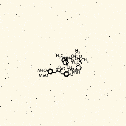 COc1ccc(C[C@H]2COC(=O)[C@@H]2Cc2ccc(OC(=O)NC3CCN(CC(C)(C)C(=O)OC(C)OC(=O)NC45CC6CC(C)(CC(C)(C6)C4)C5)CC3)c(OC)c2)cc1OC